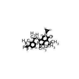 Cc1c(C(C)Nc2nn(C)c(=O)c3c(N(C)C)c(=O)n(C4CC4)cc23)cccc1C(F)(F)F